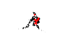 COc1ccc(COC(=O)[C@@H](Cc2ccccc2OCc2ccnc(-c3ccccc3OC)n2)Oc2ncnc3sc(-c4ccc(F)cc4)c(-c4c(C)c(Cl)c(OCCN5CC[N+](C)(COP(=O)(O)O)CC5)c(Cl)c4C)c23)cc1